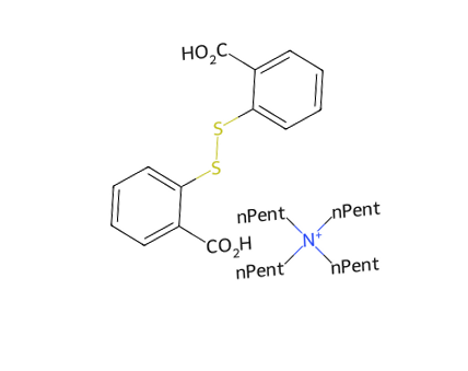 CCCCC[N+](CCCCC)(CCCCC)CCCCC.O=C(O)c1ccccc1SSc1ccccc1C(=O)O